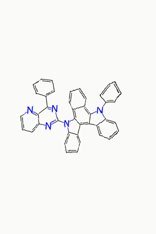 c1ccc(-c2nc(-n3c4ccccc4c4c5c6ccccc6n(-c6ccccc6)c5c5ccccc5c43)nc3cccnc23)cc1